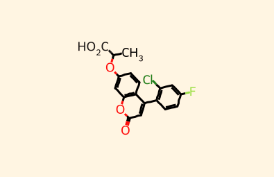 CC(Oc1ccc2c(-c3ccc(F)cc3Cl)cc(=O)oc2c1)C(=O)O